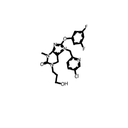 CN1C(=O)N(CCCO)Cc2c1nc(Oc1cc(F)cc(F)c1)n2Cc1ccc(Cl)cn1